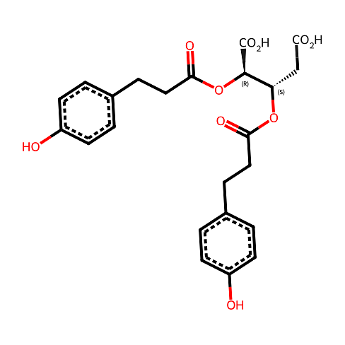 O=C(O)C[C@H](OC(=O)CCc1ccc(O)cc1)[C@@H](OC(=O)CCc1ccc(O)cc1)C(=O)O